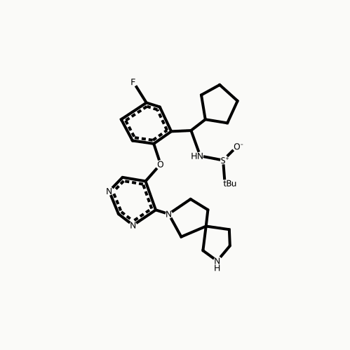 CC(C)(C)[S+]([O-])NC(c1cc(F)ccc1Oc1cncnc1N1CCC2(CCNC2)C1)C1CCCC1